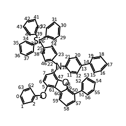 c1ccc(Oc2ccc(N(c3ccc(-c4ccccc4)cc3)c3ccc([Si](c4ccccc4)(c4ccccc4)c4ccccc4)cc3)c3oc4c(-c5ccccc5)cccc4c23)cc1